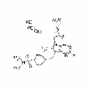 Cc1c(Cc2ccc(S(=O)(=O)N(C)C)cc2)c2nc(F)ccc2n1C/C(F)=C/CN.Cl.Cl.Cl